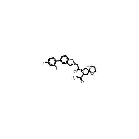 NC(=O)C1CC2(CN1C(=O)CN1Cc3ccc(-c4ccc(F)cc4F)cc3C1)NCCO2